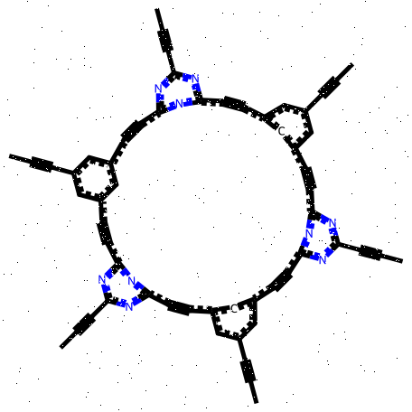 CC#Cc1cc2c#cc3nc(C#CC)nc(c#cc4cc(C#CC)cc(c#cc5nc(C#CC)nc(c#cc6cc(C#CC)cc(c#cc7nc(C#CC)nc(c#cc(c1)c2)n7)c6)n5)c4)n3